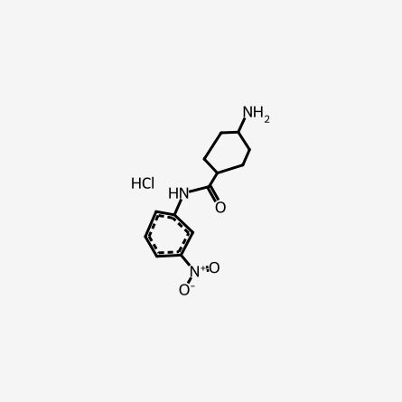 Cl.NC1CCC(C(=O)Nc2cccc([N+](=O)[O-])c2)CC1